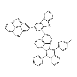 Cc1ccc(-c2c3c(c(-c4ccccc4)c4ccccc24)-c2cccc4c(-c5cc(-c6cc7ccc8cccc9ccc(c6)c7c89)cc6c5sc5ccccc56)ccc-3c24)cc1